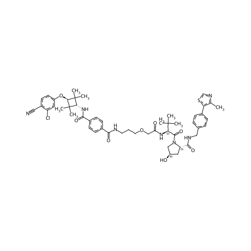 Cc1ncsc1-c1ccc(CNC(=O)[C@@H]2C[C@@H](O)CN2C(=O)[C@@H](NC(=O)COCCCNC(=O)c2ccc(C(=O)N[C@H]3C(C)(C)[C@H](Oc4ccc(C#N)c(Cl)c4)C3(C)C)cc2)C(C)(C)C)cc1